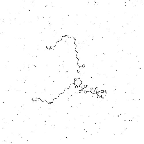 CCCC/C=C\C/C=C\CCCCCCCC(=O)OC[C@H](COP(=O)([O-])OCC[N+](C)(C)C)OC(=O)CCCCCCC/C=C\CCCC